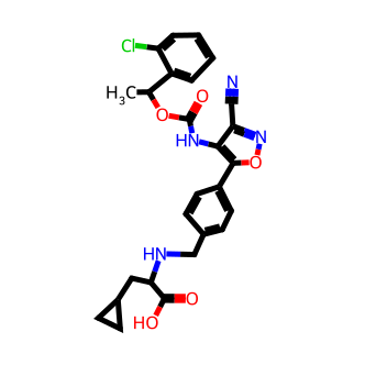 CC(OC(=O)Nc1c(C#N)noc1-c1ccc(CNC(CC2CC2)C(=O)O)cc1)c1ccccc1Cl